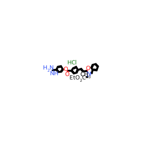 CCOC(=O)CN(Cc1ccccc1)C(=O)/C(C)=C/c1ccc(C(=O)Oc2ccc(C(=N)N)cc2)cc1.Cl